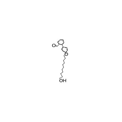 O=Cc1ccccc1-c1ccc(OCCCCCCCCCCCO)cc1